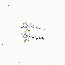 CCCCCCC1(C)OCCN1C(=S)[S-].CCCCCCC1(C)OCCN1C(=S)[S-].[Zn+2]